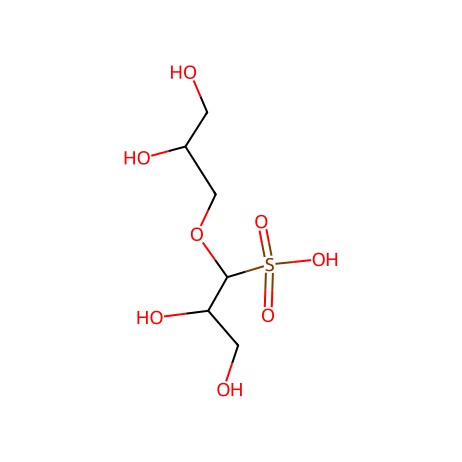 O=S(=O)(O)C(OCC(O)CO)C(O)CO